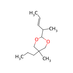 CC=CC(C)C1OCC(C)(CCC)CO1